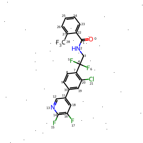 O=C(NCC(F)(F)c1ccc(-c2cnc(F)c(F)c2)cc1Cl)c1ccccc1C(F)(F)F